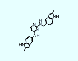 Cc1cc2cc(CNc3nccc(Nc4ccc5[nH]c(C)cc5c4)n3)ccc2[nH]1